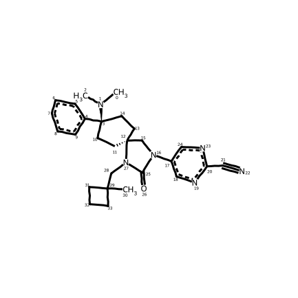 CN(C)[C@]1(c2ccccc2)CC[C@]2(CC1)CN(c1cnc(C#N)nc1)C(=O)N2CC1(C)CCC1